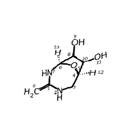 C=C1NC[C@H]2O[C@@H](N1)C(O)[C@H]2O